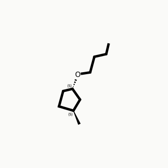 CCCCO[C@H]1CC[C@H](C)C1